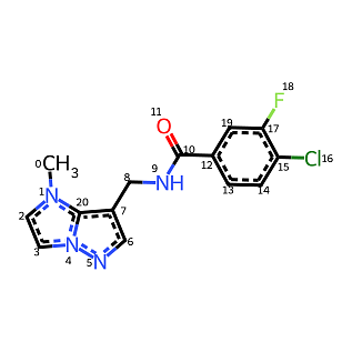 Cn1ccn2ncc(CNC(=O)c3ccc(Cl)c(F)c3)c12